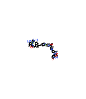 Cc1ccc(N[C@H]2CNCC2(F)F)cc1C(=O)N[C@H](C)c1ccc(C#CC2CCN(CC3(F)CCN(C(=O)C4CCN(c5ccc6c(c5)n(C)c(=O)n6C5CCC(=O)NC5=O)CC4)CC3)CC2)c2ccccc12